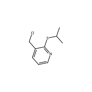 CC(C)Sc1ncccc1CCl